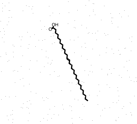 CCCCCCCCCCCCCCCCC=CCCCCCCCCCCCC(=O)O